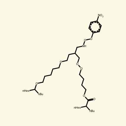 CCCCCCC(CCCC)OCCCCCOCCC(CNOOc1ccc([N+](=O)[O-])cc1)COOCCCCOC(=O)C(CCCC)CCCCCC